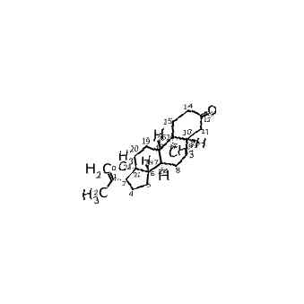 C=C(C)[C@H]1CC[C@H]2[C@@H]3CC[C@H]4CC(=O)CC[C@]4(C)[C@H]3CC[C@]12C